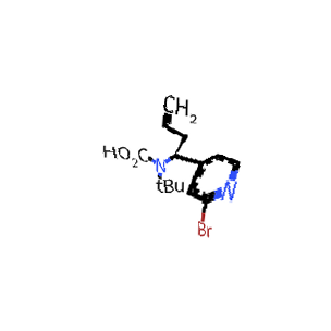 C=CC[C@@H](c1ccnc(Br)c1)N(C(=O)O)C(C)(C)C